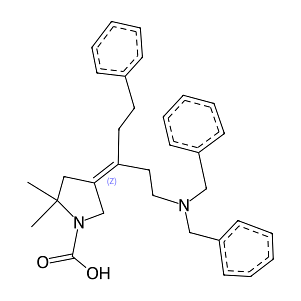 CC1(C)C/C(=C(\CCc2ccccc2)CCN(Cc2ccccc2)Cc2ccccc2)CN1C(=O)O